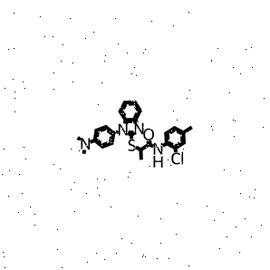 Cc1ccc(NC(=O)C(C)Sc2nc3ccccc3n2-c2ccc(N(C)C)cc2)c(Cl)c1